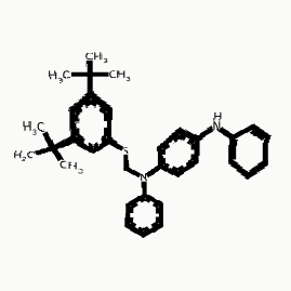 CC(C)(C)c1cc(SCN(c2ccccc2)c2ccc(NC3=CCCC=C3)cc2)cc(C(C)(C)C)c1